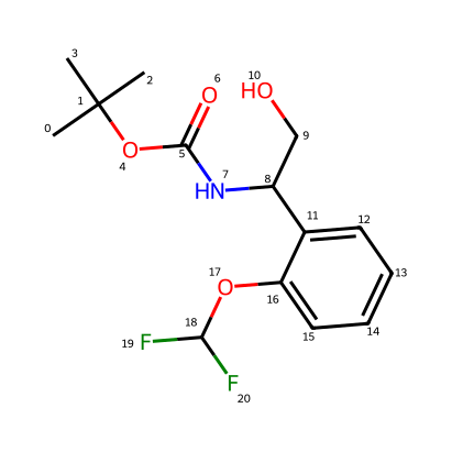 CC(C)(C)OC(=O)NC(CO)c1ccccc1OC(F)F